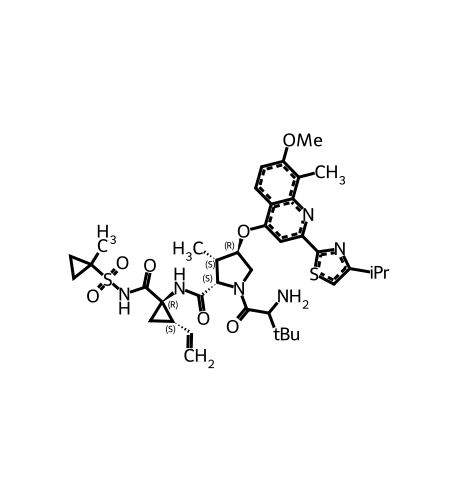 C=C[C@@H]1C[C@]1(NC(=O)[C@@H]1[C@H](C)[C@@H](Oc2cc(-c3nc(C(C)C)cs3)nc3c(C)c(OC)ccc23)CN1C(=O)C(N)C(C)(C)C)C(=O)NS(=O)(=O)C1(C)CC1